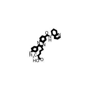 C[C@@H](CCCc1nc2cc(C(=O)N[C@@H]3CCCc4ncccc43)ccc2nc1-c1ccc(F)cc1)C(=O)O